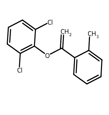 C=C(Oc1c(Cl)cccc1Cl)c1ccccc1C